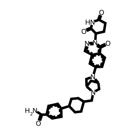 NC(=O)c1ccc(C2CCC(CN3CC4CC3CN4c3ccc4c(=O)n(C5CCC(=O)NC5=O)ncc4c3)CC2)cc1